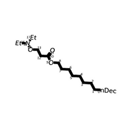 CCCCCCCCCCCCCCCCCCOC(=O)CCON(CC)CC